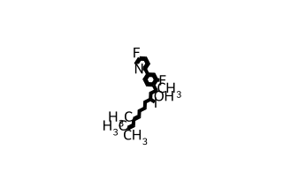 CC(C)=C/C(C)=C/CCCC(I)CC(C)(O)c1ccc(-c2ccc(F)cn2)cc1F